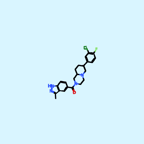 Cc1n[nH]c2ccc(C(=O)N3CCN4CC(c5ccc(F)c(Cl)c5)CCC4C3)cc12